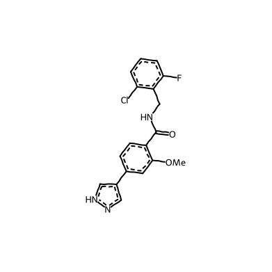 COc1cc(-c2cn[nH]c2)ccc1C(=O)NCc1c(F)cccc1Cl